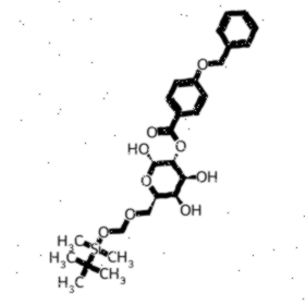 CC(C)(C)[Si](C)(C)OCOC[C@H]1O[C@H](O)[C@H](OC(=O)c2ccc(OCc3ccccc3)cc2)[C@@H](O)[C@H]1O